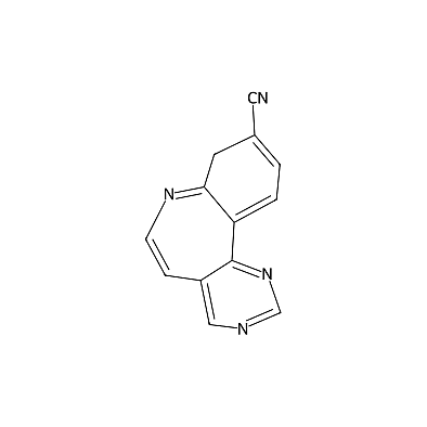 N#CC1=CC=C2C(=NC=Cc3cncnc32)C1